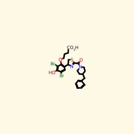 O=C(O)CCCOc1c(C2CSC(C(=O)N3CCC(Cc4ccccc4)CC3)=N2)cc(Br)c(O)c1Br